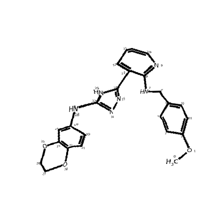 COc1ccc(CNc2ncccc2-c2nnc(Nc3ccc4c(c3)OCCO4)[nH]2)cc1